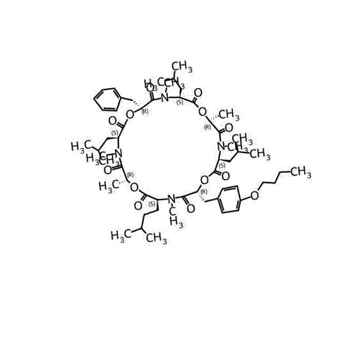 CCCCOc1ccc(C[C@H]2OC(=O)[C@H](CC(C)C)N(C)C(=O)[C@@H](C)OC(=O)[C@H](CC(C)C)N(C)C(=O)[C@@H](Cc3ccccc3)OC(=O)[C@H](CC(C)C)N(C)C(=O)[C@@H](C)OC(=O)[C@H](CCC(C)C)N(C)C2=O)cc1